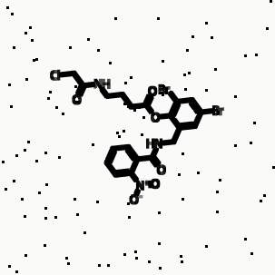 O=C(CCl)NCCCC(=O)Oc1c(Br)cc(Br)cc1CNC(=O)c1ccccc1[N+](=O)[O-]